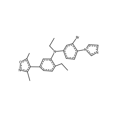 CCc1ccc(-c2c(C)noc2C)cc1N(CC)c1ccc(-n2ccnc2)c(Br)c1